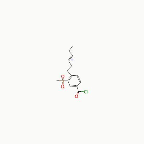 CC/C=C/CCc1ccc(C(=O)Cl)cc1S(C)(=O)=O